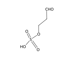 O=CCCOS(=O)(=O)O